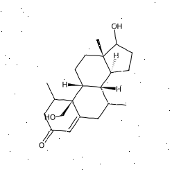 CC1CC2=CC(=O)CC(C)[C@]2(CO)[C@@H]2CC[C@]3(C)C(O)CC[C@H]3[C@H]12